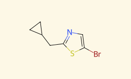 Brc1cnc(CC2CC2)s1